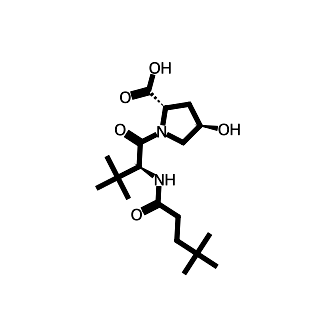 CC(C)(C)CCC(=O)N[C@H](C(=O)N1C[C@H](O)C[C@H]1C(=O)O)C(C)(C)C